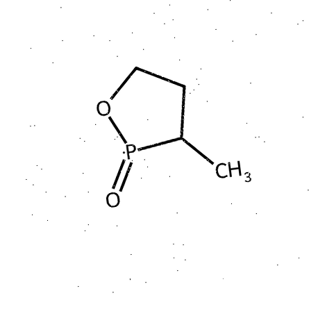 CC1CCO[P]1=O